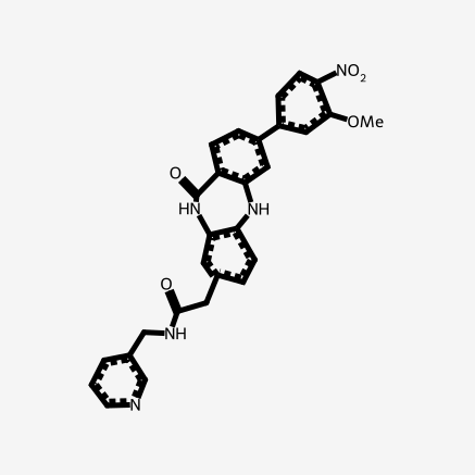 COc1cc(-c2ccc3c(c2)Nc2ccc(CC(=O)NCc4cccnc4)cc2NC3=O)ccc1[N+](=O)[O-]